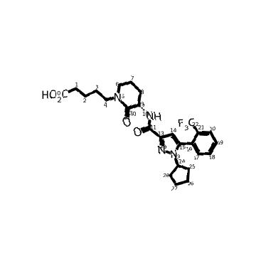 O=C(O)CCCCN1CCC[C@H](NC(=O)c2cc(-c3ccccc3C(F)(F)F)n(C3CCCC3)n2)C1=O